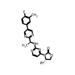 Cc1cc(-c2cnc([C@H](C)Nc3nccc(N4C(=O)OC[C@@H]4C(C)C)n3)nc2)ccc1F